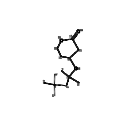 CC(C)(C)CC(C)(C)OC1CCOC(=O)C1